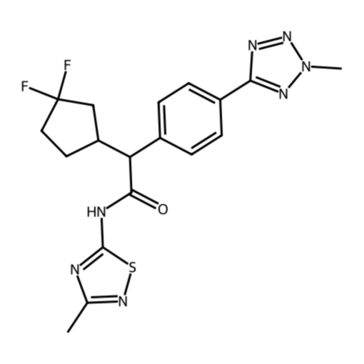 Cc1nsc(NC(=O)C(c2ccc(-c3nnn(C)n3)cc2)C2CCC(F)(F)C2)n1